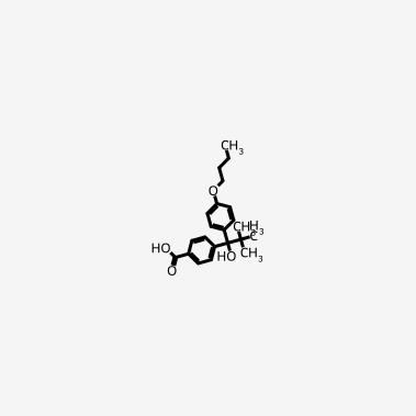 CCCCOc1ccc(C(O)(c2ccc(C(=O)O)cc2)C(C)(C)C)cc1